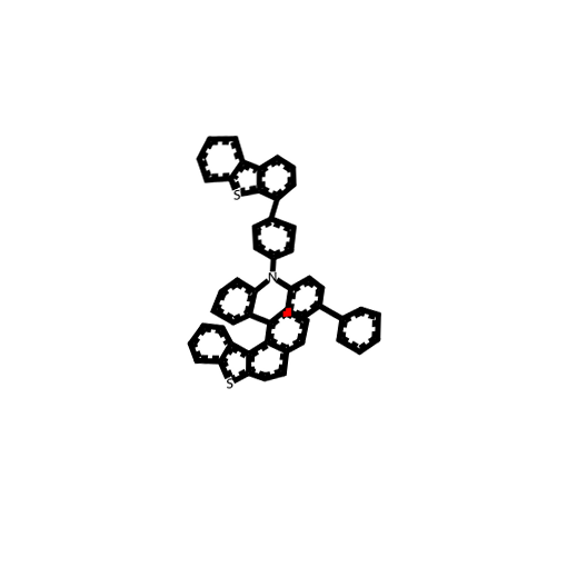 c1ccc(-c2ccc(N(c3ccc(-c4cccc5c4sc4ccccc45)cc3)c3ccccc3-c3cccc4ccc5sc6ccccc6c5c34)cc2)cc1